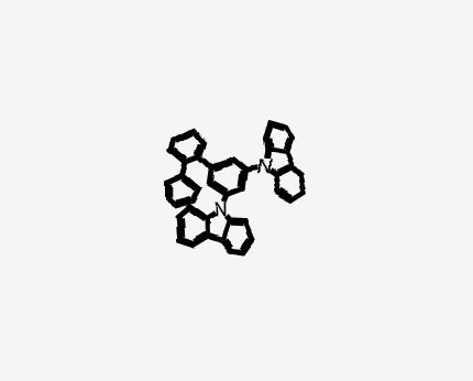 C1=Cc2c(c3ccccc3n2-c2cc(-c3ccccc3-c3ccccc3)cc(-n3c4ccccc4c4ccccc43)c2)CC1